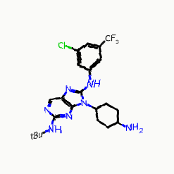 CC(C)(C)Nc1ncc2nc(Nc3cc(Cl)cc(C(F)(F)F)c3)n(C3CCC(N)CC3)c2n1